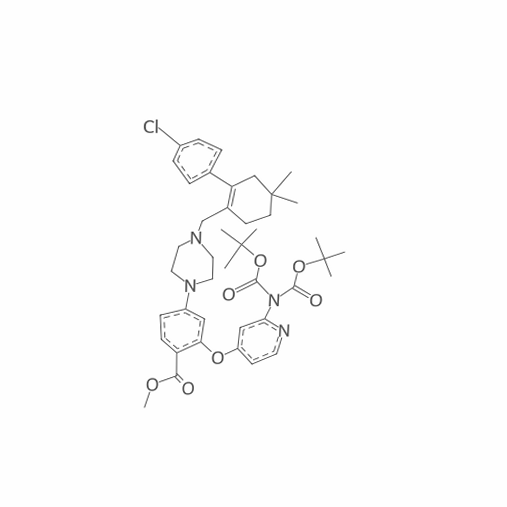 COC(=O)c1ccc(N2CCN(CC3=C(c4ccc(Cl)cc4)CC(C)(C)CC3)CC2)cc1Oc1ccnc(N(C(=O)OC(C)(C)C)C(=O)OC(C)(C)C)c1